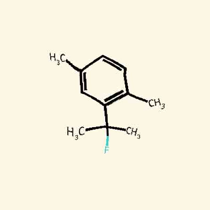 Cc1ccc(C)c(C(C)(C)F)c1